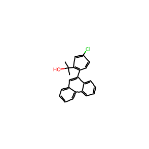 CC(C)(O)c1cc(Cl)ccc1-c1cc2ccccc2c2ccccc12